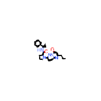 CCCc1cc(=O)n2nc(N3CCCC3C(=O)NC3(c4ccccc4)CC3)ccc2n1